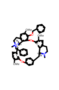 COc1ccc2cc1Oc1ccc(cc1)C[C@H]1c3cc(c(OC)cc3CCN1C)Oc1c(OCc3ccccc3)c(OC)cc3c1[C@H](C2)[N+](C)(Cc1ccccc1)CC3